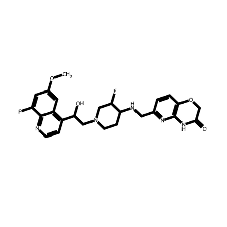 COc1cc(F)c2nccc(C(O)CN3CCC(NCc4ccc5c(n4)NC(=O)CO5)C(F)C3)c2c1